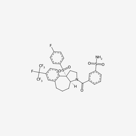 NS(=O)(=O)c1cccc(C(=O)N2CC[C@]3(S(=O)(=O)c4ccc(F)cc4)c4ccc(C(F)(C(F)(F)F)C(F)(F)F)cc4CCC[C@H]23)c1